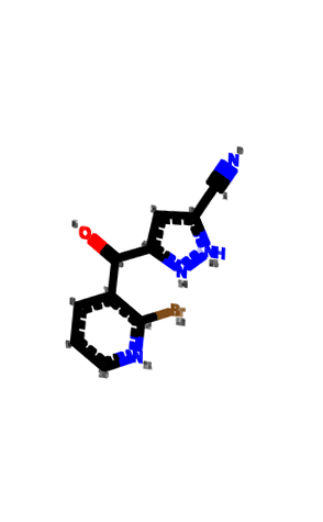 N#Cc1cc(C(=O)c2cccnc2Br)n[nH]1